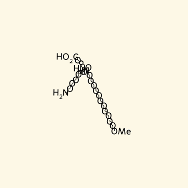 COCCOCCOCCOCCOCCOCCOCCOCCOCCOCCOCCOCCNC(=O)[C@H](Cc1ccc(OCC(=O)O)cc1)NC(=O)CCOCCOCCOCCOCCN